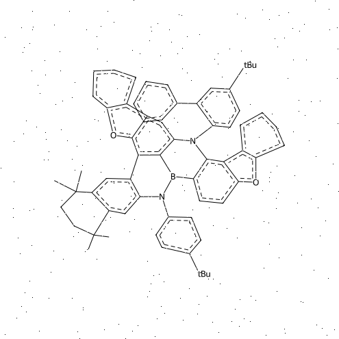 CC(C)(C)c1ccc(N2B3c4ccc5oc6ccccc6c5c4N(c4ccc(C(C)(C)C)cc4-c4ccccc4)c4cc5c(oc6ccccc65)c(c43)-c3cc4c(cc32)C(C)(C)CCC4(C)C)cc1